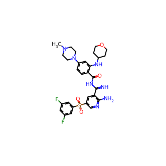 CN1CCN(c2ccc(C(=O)NC(=N)c3cc(S(=O)(=O)c4cc(F)cc(F)c4)cnc3N)c(NC3CCOCC3)c2)CC1